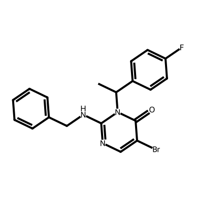 CC(c1ccc(F)cc1)n1c(NCc2ccccc2)ncc(Br)c1=O